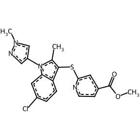 COC(=O)c1ccnc(Sc2c(C)n(-c3cnn(C)c3)c3cc(Cl)ccc23)c1